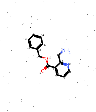 NCc1ncccc1C(=O)OCc1ccccc1